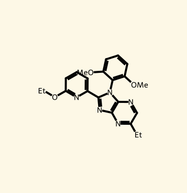 CCOc1cccc(-c2nc3nc(CC)cnc3n2-c2c(OC)cccc2OC)n1